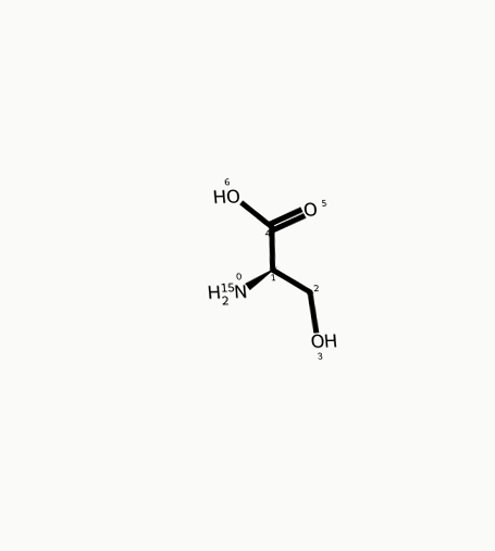 [15NH2][C@H](CO)C(=O)O